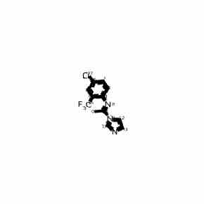 CC(=Nc1ccc(Cl)cc1C(F)(F)F)n1ccnc1